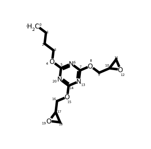 [CH2]CCCOc1nc(OCC2CO2)nc(OCC2CO2)n1